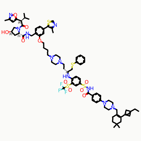 CCC12CC(C3=C(CN4CCN(c5ccc(C(=O)NS(=O)(=O)c6ccc(N[C@H](CCN7CCN(CCCCOc8cc(-c9scnc9C)ccc8CNC(=O)[C@@H]8C[C@@H](O)CN8C(=O)[C@@H](c8cc(C)no8)C(C)C)CC7)CSc7ccccc7)c(S(=O)(=O)C(F)(F)F)c6)cc5)CC4)CCC(C)(C)C3)(C1)C2